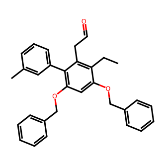 CCc1c(OCc2ccccc2)cc(OCc2ccccc2)c(-c2cccc(C)c2)c1CC=O